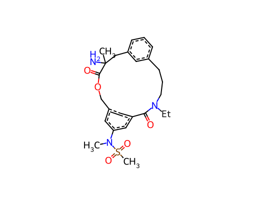 CCN1CCCc2cccc(c2)CC(C)(N)C(=O)OCc2cc(cc(N(C)S(C)(=O)=O)c2)C1=O